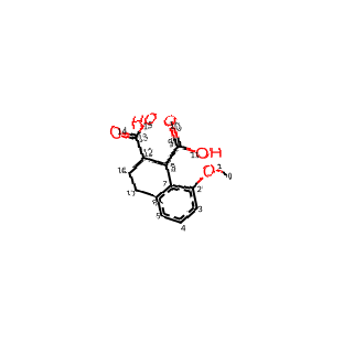 COc1cccc2c1C(C(=O)O)C(C(=O)O)CC2